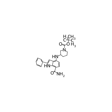 CC(C)(C)OC(=O)N1CCCC(Nc2ccc(C(N)=O)c3[nH]c(-c4ccccc4)cc23)C1